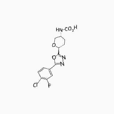 O=C(O)N[C@@H]1CC[C@@H](c2nnc(-c3ccc(Cl)c(F)c3)o2)OC1